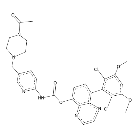 COc1cc(OC)c(Cl)c(-c2ccc(OC(=O)Nc3ccc(CN4CCN(C(C)=O)CC4)cn3)c3nccnc23)c1Cl